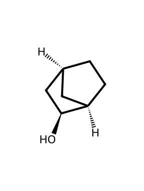 O[C@H]1C[C@H]2CC[C@@H]1C2